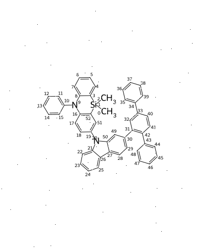 C[Si]1(C)c2ccccc2N(c2ccccc2)c2ccc(-n3c4ccccc4c4ccc(-c5cc(-c6ccccc6)ccc5-c5ccccc5)cc43)cc21